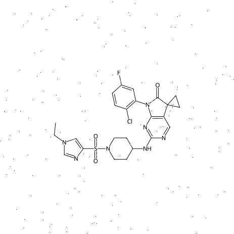 CCn1cnc(S(=O)(=O)N2CCC(Nc3ncc4c(n3)N(c3cc(F)ccc3Cl)C(=O)C43CC3)CC2)c1